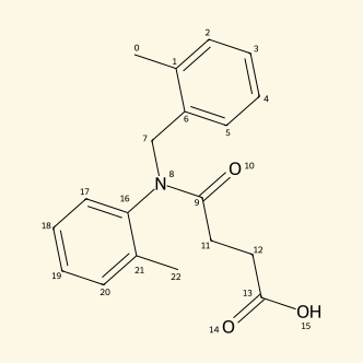 Cc1ccccc1CN(C(=O)CCC(=O)O)c1ccccc1C